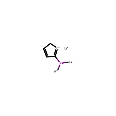 CC(C)P(C1=[C-]CC=C1)C(C)C.[Li+]